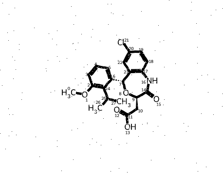 COc1cccc([C@H]2O[C@H](CC(=O)O)C(=O)Nc3ccc(Cl)cc32)c1C(C)C